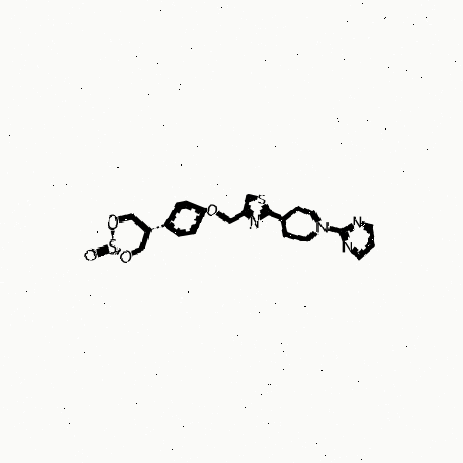 O=[S@]1OC[C@H](c2ccc(OCc3csc(C4CCN(c5ncccn5)CC4)n3)cc2)CO1